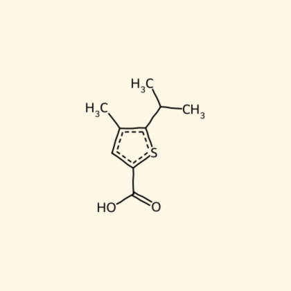 Cc1cc(C(=O)O)sc1C(C)C